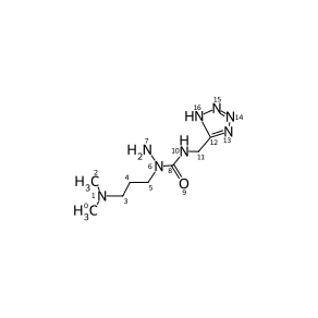 CN(C)CCCN(N)C(=O)NCc1nnn[nH]1